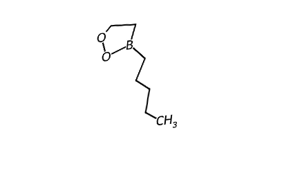 CCCCCB1CCOO1